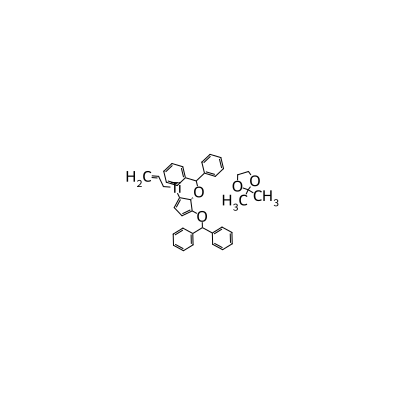 C=C[CH2][Ti][C]1=CC=C(OC(c2ccccc2)c2ccccc2)[C@H]1OC(c1ccccc1)c1ccccc1.CC1(C)OCCO1